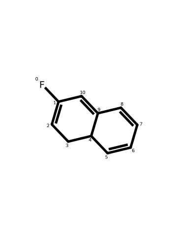 FC1=CCC2C=CC=CC2=C1